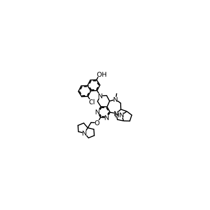 CN1CC2C3CCC(CN2c2nc(OCC45CCCN4CCC5)nc4c2C1CN(c1cc(O)cc2cccc(Cl)c12)C4)N3